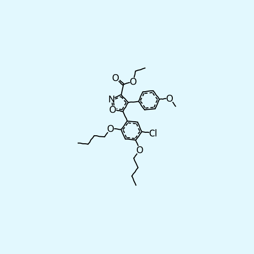 CCCCOc1cc(OCCCC)c(-c2onc(C(=O)OCC)c2-c2ccc(OC)cc2)cc1Cl